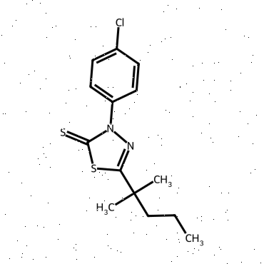 CCCC(C)(C)c1nn(-c2ccc(Cl)cc2)c(=S)s1